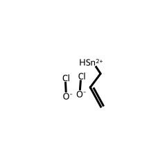 C=C[CH2][SnH+2].[O-]Cl.[O-]Cl